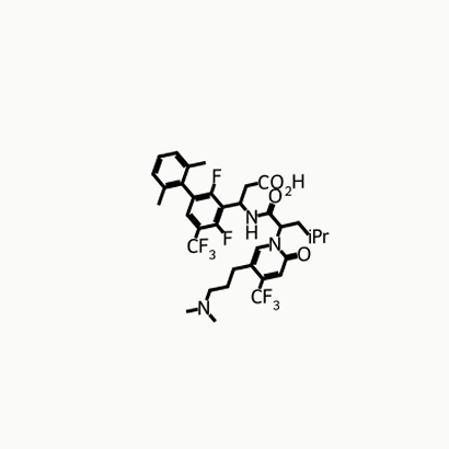 Cc1cccc(C)c1-c1cc(C(F)(F)F)c(F)c(C(CC(=O)O)NC(=O)C(CC(C)C)n2cc(CCCN(C)C)c(C(F)(F)F)cc2=O)c1F